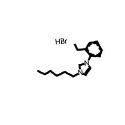 Br.CCCCCCN1C=CN(c2ccccc2CC)C1